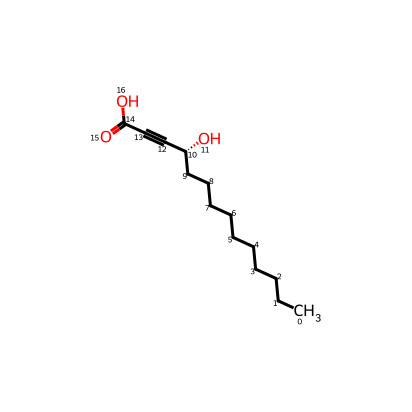 CCCCCCCCCC[C@@H](O)C#CC(=O)O